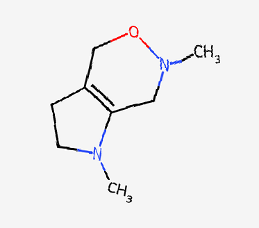 CN1CC2=C(CCN2C)CO1